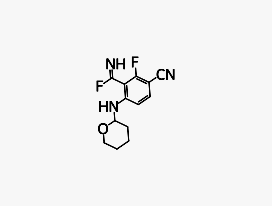 N#Cc1ccc(NC2CCCCO2)c(C(=N)F)c1F